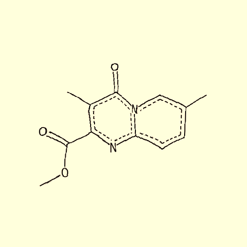 COC(=O)c1nc2ccc(C)cn2c(=O)c1C